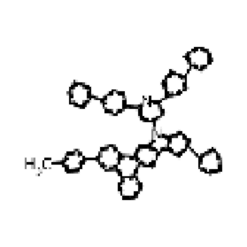 Cc1ccc(-c2ccc3c(c2)c2ccccc2c2cc4c5cc(-c6ccccc6)ccc5n(-c5cc(-c6ccc(-c7ccccc7)cc6)nc(-c6ccc(-c7ccccc7)cc6)c5)c4cc32)cc1